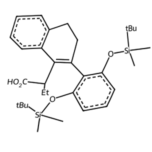 CCC(C(=O)O)C1=C(c2c(O[Si](C)(C)C(C)(C)C)cccc2O[Si](C)(C)C(C)(C)C)CCc2ccccc21